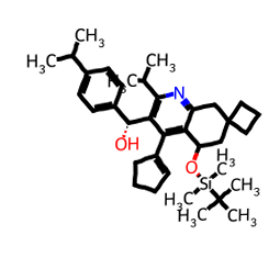 CC(C)c1ccc([C@@H](O)c2c(C(C)C)nc3c(c2C2=CCCC2)C(O[Si](C)(C)C(C)(C)C)CC2(CCC2)C3)cc1